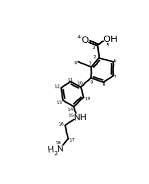 Cc1c(C(=O)O)cccc1-c1cccc(NCCN)c1